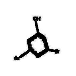 CC(=O)c1cc(O)cc(Br)c1